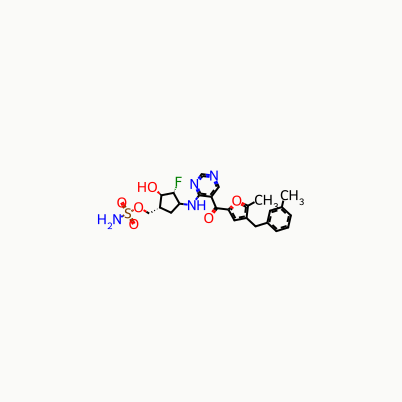 Cc1cccc(Cc2cc(C(=O)c3cncnc3NC3C[C@H](COS(N)(=O)=O)[C@@H](O)[C@@H]3F)oc2C)c1